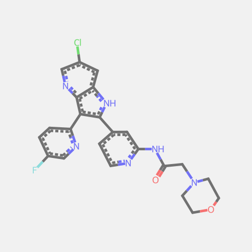 O=C(CN1CCOCC1)Nc1cc(-c2[nH]c3cc(Cl)cnc3c2-c2ccc(F)cn2)ccn1